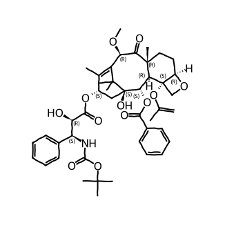 C=C(C)O[C@@]12CO[C@@H]1CC[C@@]1(C)C(=O)[C@H](OC)C3=C(C)[C@@H](OC(=O)[C@H](O)[C@@H](NC(=O)OC(C)(C)C)c4ccccc4)C[C@@](O)([C@@H](OC(=O)c4ccccc4)[C@H]21)C3(C)C